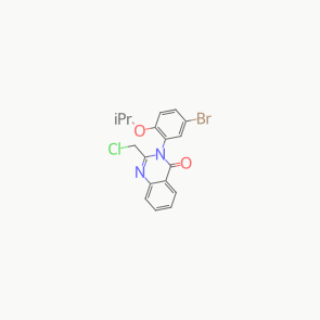 CC(C)Oc1ccc(Br)cc1-n1c(CCl)nc2ccccc2c1=O